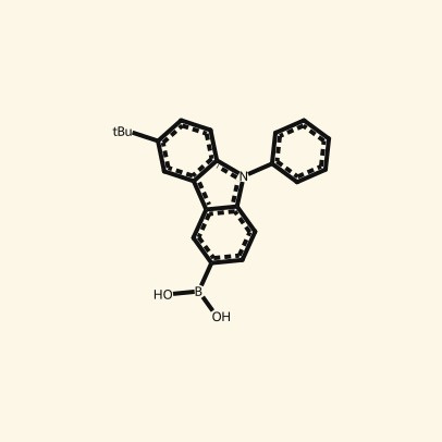 CC(C)(C)c1ccc2c(c1)c1cc(B(O)O)ccc1n2-c1ccccc1